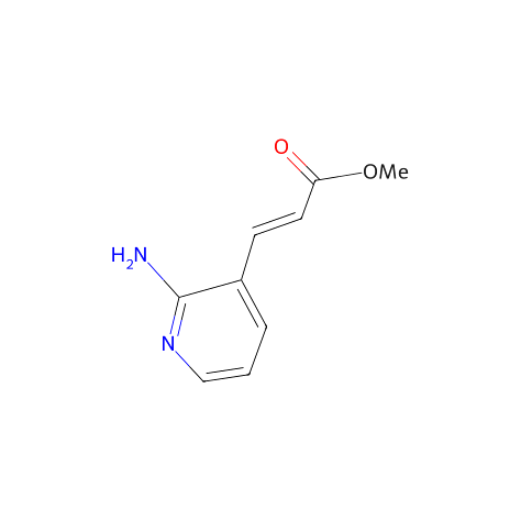 COC(=O)C=Cc1cccnc1N